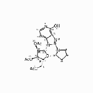 CC(=O)OC[C@H]1O[C@@H](n2c(N3CCCC3)nc3c(O)ncnc32)[C@H](OC(C)=O)[C@@H]1OC(C)=O